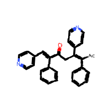 CC(=O)C(=C(CC(=O)C(=Cc1ccncc1)c1ccccc1)c1ccncc1)c1ccccc1